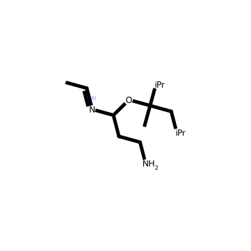 C/C=N/C(CCN)OC(C)(CC(C)C)C(C)C